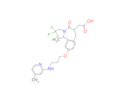 Cc1ccnc(NCCCOc2ccc3c(c2)C(C)N(CC(F)(F)F)C(=O)C(CC(=O)O)C3)c1